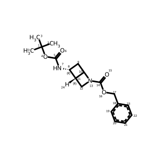 CC(C)(C)OC(=O)N[C@@H]1CC2[C@@H]1CN2C(=O)OCc1ccccc1